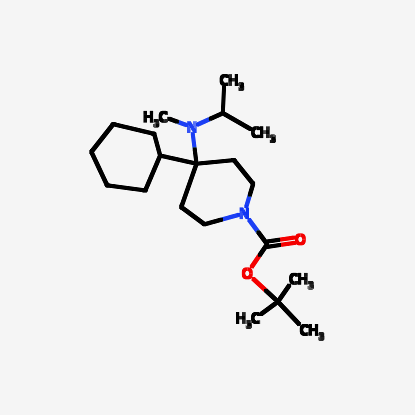 CC(C)N(C)C1(C2CCCCC2)CCN(C(=O)OC(C)(C)C)CC1